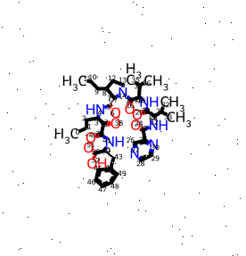 CCCC(NC(=O)[C@@H]1C(CCC)CCN1C(=O)[C@@H](NC(=O)[C@@H](NC(=O)c1cnccn1)C(C)C)C(C)C)C(=O)C(=O)N[C@@H](Cc1ccccc1)C(=O)O